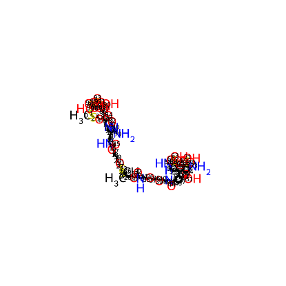 CSSCOC1C(Cn2cc(C#CNC(=O)OCCCCOCSSC(C)(C)CCOC(=O)NCCOCCOCCNC(=O)c3ccc(C(=O)O)c(-c4c5ccc(=N)c(S(=O)(=O)O)c-5oc5c(S(=O)(=O)O)c(N)ccc45)c3)c(N)nc2=O)CO[C@@H]1COP(=O)(O)OP(=O)(O)OP(=O)(O)O